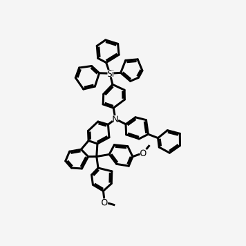 COc1ccc(C2(c3ccc(OC)cc3)c3ccccc3-c3ccc(N(c4ccc(-c5ccccc5)cc4)c4ccc([Si](c5ccccc5)(c5ccccc5)c5ccccc5)cc4)cc32)cc1